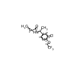 CC(NC(=O)C1CC1C)c1cnc(OCC(F)(F)F)c(Cl)c1